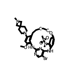 COc1cc(N2CCC3(CC2)CN(C)C3)c2cc1Nc1ncc(Br)c(n1)Nc1ccc(cc1N(C)S(C)(=O)=O)OCCCCC2